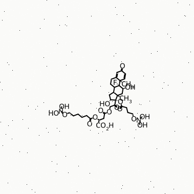 C[C@]12C=CC(=O)C=C1CCC1C3C[C@@H](O)[C@](OC(=O)CCCON(O)O)(C(=O)COC(=O)CC(OC(=O)CCCCCON(O)O)C(=O)O)[C@@]3(C)C[C@H](O)[C@@]12F